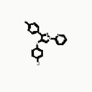 Cc1ccc(-c2nn(-c3ccccn3)cc2Sc2ccc(Cl)cc2)cc1